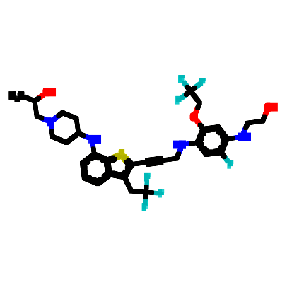 CC(O)CN1CCC(Nc2cccc3c(CC(F)(F)F)c(C#CCNc4cc(F)c(NCCO)cc4OCC(F)(F)F)sc23)CC1